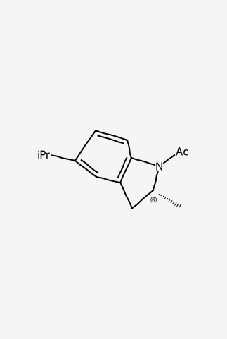 CC(=O)N1c2ccc(C(C)C)cc2C[C@H]1C